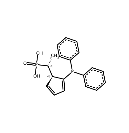 C[C@H]([C@@H]1C=CC=C1P(c1ccccc1)c1ccccc1)P(=O)(O)O